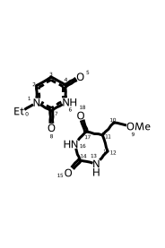 CCn1ccc(=O)[nH]c1=O.COC[C]1[C]NC(=O)NC1=O